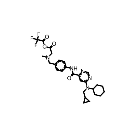 CN(CC(=O)OC(=O)C(F)(F)F)Cc1ccc(NC(=O)c2cc(N(CC3CC3)C3CCCCC3)ncn2)cc1